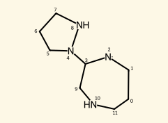 C1C[N]C(N2CCCN2)CNC1